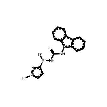 CC(C)n1ccc([S+]([O-])NC(=O)Nn2c3ccccc3c3ccccc32)n1